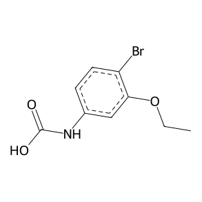 CCOc1cc(NC(=O)O)ccc1Br